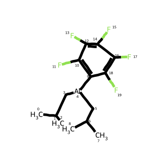 CC(C)[CH2][Al]([CH2]C(C)C)[c]1c(F)c(F)c(F)c(F)c1F